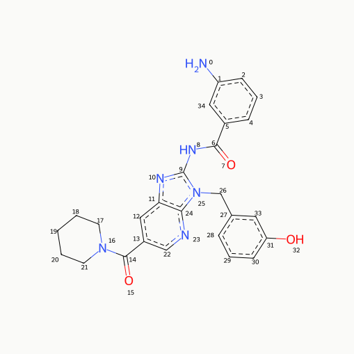 Nc1cccc(C(=O)Nc2nc3cc(C(=O)N4CCCCC4)cnc3n2Cc2cccc(O)c2)c1